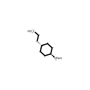 CCCCC[C@H]1CC[C@H](CCC(=O)O)CC1